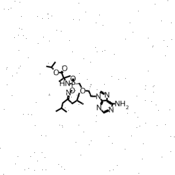 CC(C)CC(CC(C)C)=NO[P@](=O)(CO[C@H](C)Cn1cnc2c(N)ncnc21)NC(C)(C)C(=O)OC(C)C